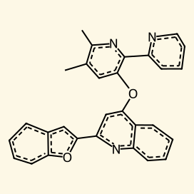 Cc1cc(Oc2cc(-c3cc4ccccc4o3)nc3ccccc23)c(-c2ccccn2)nc1C